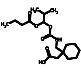 CCCC(=O)OC(OC(=O)NCC1(CC(=O)O)CCCCC1)C(C)C